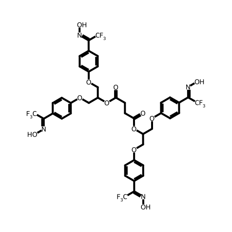 O=C(CCC(=O)OC(COc1ccc(C(=NO)C(F)(F)F)cc1)COc1ccc(C(=NO)C(F)(F)F)cc1)OC(COc1ccc(C(=NO)C(F)(F)F)cc1)COc1ccc(C(=NO)C(F)(F)F)cc1